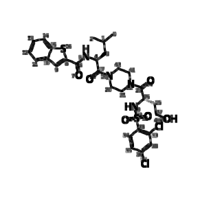 CC(C)C[C@H](NC(=O)c1cc2ccccc2s1)C(=O)N1CCN(C(=O)[C@H](CCO)NS(=O)(=O)c2ccc(Cl)cc2Cl)CC1